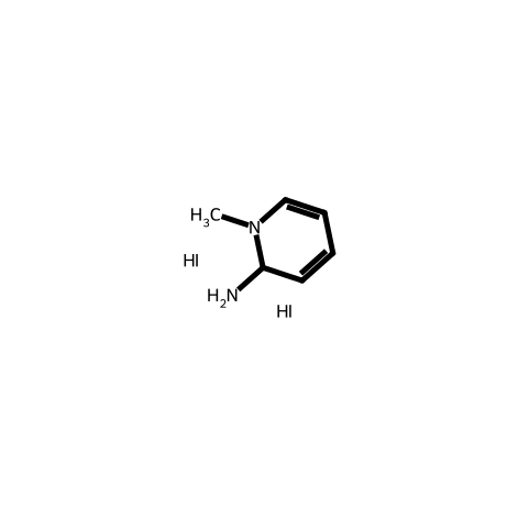 CN1C=CC=CC1N.I.I